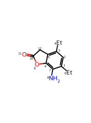 CCc1cc(CC)c2c(c1N)OC(=O)C2